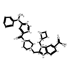 CN(c1ccccc1)c1cc(C(=O)N2CCN(Cc3nc4ccc(C(=O)O)cc4n3C[C@@H]3CCO3)CC2)ncn1